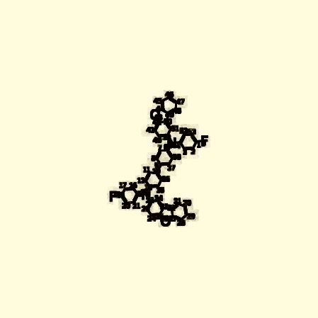 Fc1ccc(N(c2ccc(-c3ccc(N(c4ccc(F)cc4)c4ccc5oc6ccccc6c5c4)cc3)cc2)c2ccc3oc4ccccc4c3c2)cc1